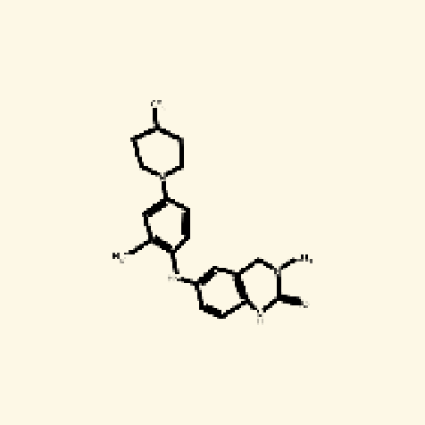 Cc1cc(N2CCC(C(F)(F)F)CC2)ccc1Nc1ccc2c(c1)CN(C)C(=O)N2